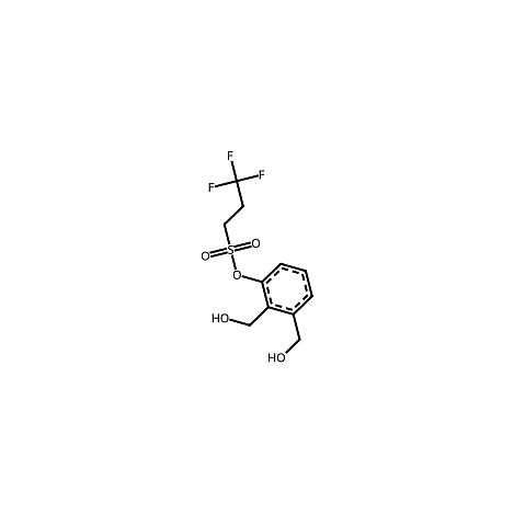 O=S(=O)(CCC(F)(F)F)Oc1cccc(CO)c1CO